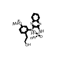 CCCS(=O)(=O)Nc1nc2ccccc2nc1Nc1cc(OC)ccc1CCO.[K]